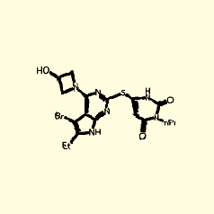 CCCn1c(=O)cc(Sc2nc(N3CC(O)C3)c3c(Br)c(CC)[nH]c3n2)[nH]c1=O